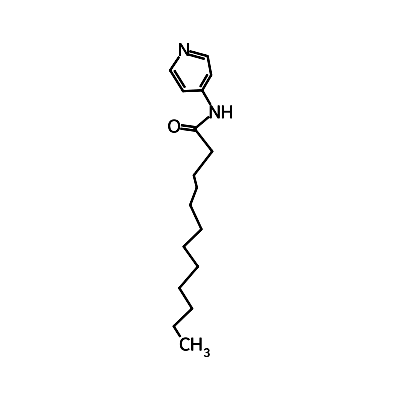 CCCCCCCCCCCC(=O)Nc1ccncc1